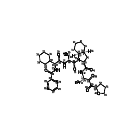 CCC[C@H](NC(=O)[C@@H]1C[C@@H]2CCCC[C@@H]2N1C(=O)[C@@H](NC(=O)[C@@H](NC(=O)c1cnccn1)C1CCCCC1)C(C)(C)C)C(=O)C(=O)[C@H]1CCCO1